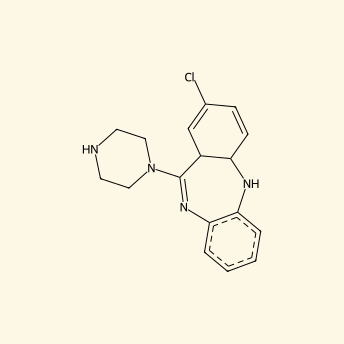 ClC1=CC2C(N3CCNCC3)=Nc3ccccc3NC2C=C1